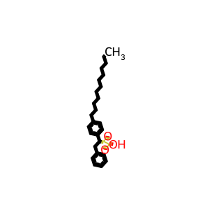 CCCCCCCCCCCCc1ccc(C(Cc2ccccc2)S(=O)(=O)O)cc1